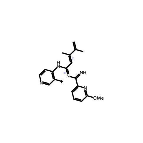 C=C(C)/C(C)=C/C(=N\C(=N)c1cccc(OC)n1)Nc1ccncc1F